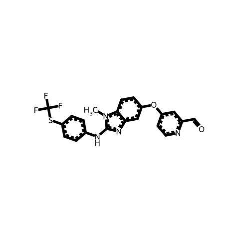 Cn1c(Nc2ccc(SC(F)(F)F)cc2)nc2cc(Oc3ccnc(C=O)c3)ccc21